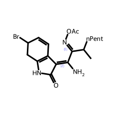 CCCCCC(C)C(=N\OC(C)=O)/C(N)=C1/C(=O)NC2=C1C=CC(Br)C2